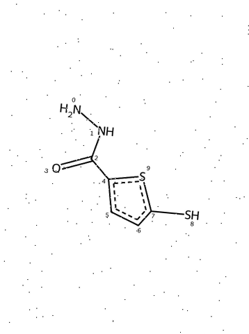 NNC(=O)c1ccc(S)s1